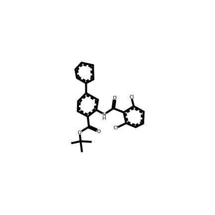 CC(C)(C)OC(=O)c1ccc(-c2ccccc2)cc1NC(=O)c1c(Cl)cccc1Cl